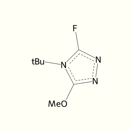 COc1nnc(F)n1C(C)(C)C